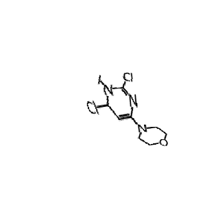 ClC1=NC(N2CCOCC2)=CC(Cl)N1I